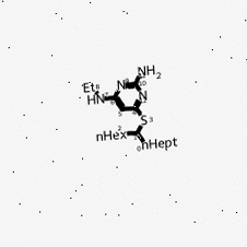 CCCCCCCC(CCCCCC)Sc1cc(NCC)nc(N)n1